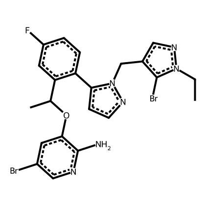 CCn1ncc(Cn2nccc2-c2ccc(F)cc2C(C)Oc2cc(Br)cnc2N)c1Br